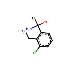 CCC(N)(O)c1cccc(Cl)c1CC(=O)O